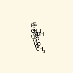 CCOC(=O)OCOC(=O)c1cccc2c1OB(O)C(NC(=O)CCC(F)(F)F)C2